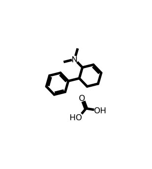 CN(C)C1C=CCCC1c1ccccc1.O=C(O)O